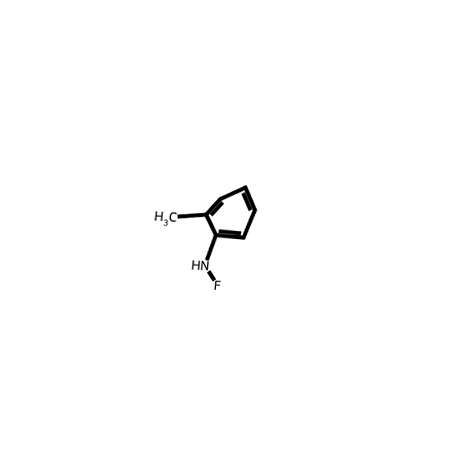 Cc1ccccc1NF